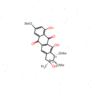 COc1cc(O)c2c(c1)C(=O)c1cc3c(c(O)c1C2=O)[C@H](OC)[C@@H](OC)[C@@](C)(O)C3